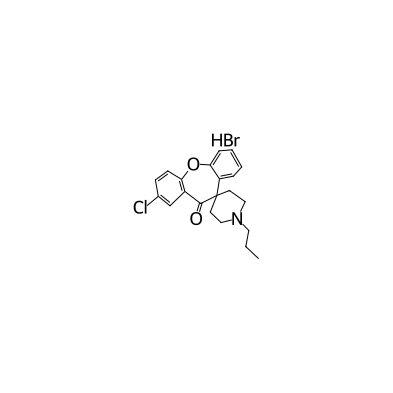 Br.CCCN1CCC2(CC1)C(=O)c1cc(Cl)ccc1Oc1ccccc12